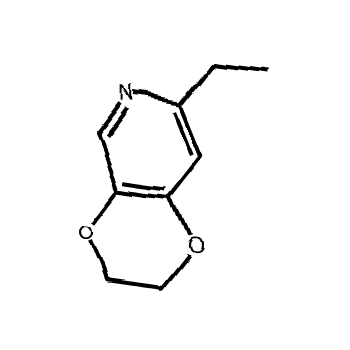 CCc1cc2c(cn1)OCCO2